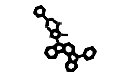 Cn1c(-n2c3ccccc3c3c4c5ccccc5n(-c5ccccc5)c4ccc32)nc2c1NCC(c1ccccc1)=N2